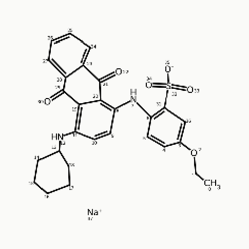 CCOc1ccc(Nc2ccc(NC3CCCCC3)c3c2C(=O)c2ccccc2C3=O)c(S(=O)(=O)[O-])c1.[Na+]